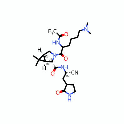 CN(C)CCCCC(NC(=O)C(F)(F)F)C(=O)N1C[C@H]2[C@@H]([C@H]1C(=O)N[C@H](C#N)CC1CCNC1=O)C2(C)C